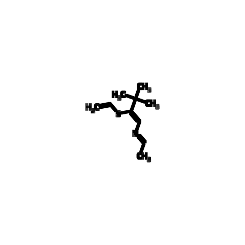 C=CS/C(=C\N=C\C)C(C)(C)C